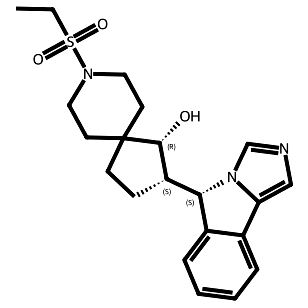 CCS(=O)(=O)N1CCC2(CC[C@@H]([C@H]3c4ccccc4-c4cncn43)[C@H]2O)CC1